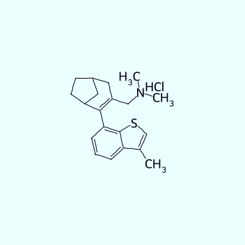 Cc1csc2c(C3=C(CN(C)C)CC4CCC3C4)cccc12.Cl